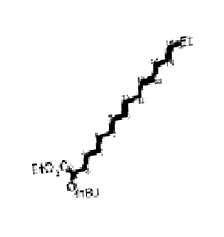 [CH2]CCCOC(CCCCCCC=CCC=CCC=CCC)C(=O)OCC